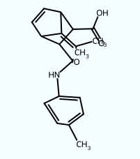 CC(C)=C1C2C=CC1C(C(=O)Nc1ccc(C)cc1)C2C(=O)O